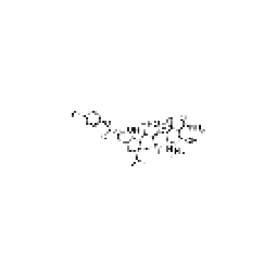 CN(C)c1cc(CNC(=O)Oc2ccc(Cl)cc2)c(O)c2c1C[C@@H]1C[C@@H]3[C@@H](N(C)C)C(O)=C(C(N)=O)C(=O)[C@]3(O)C(O)=C1C2=O